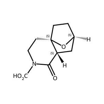 O=C(O)N1CC[C@@]23CC[C@@H](C[C@@H]2C1=O)O3